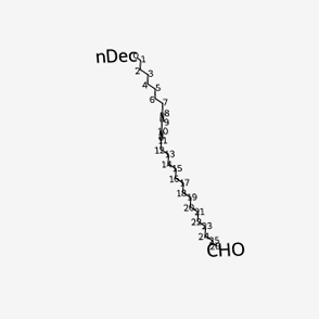 CCCCCCCCCCCCCCCCCC#CC#CCCCCCCCCCCCCCCC=O